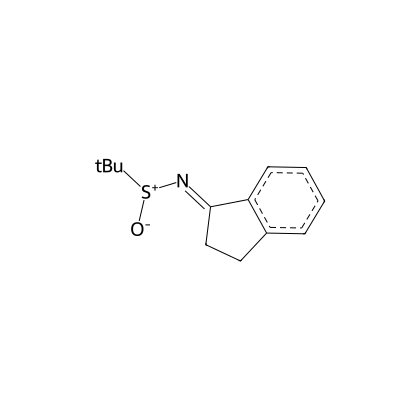 CC(C)(C)[S+]([O-])N=C1CCc2ccccc21